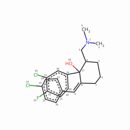 CN(C)CC1CCC/C(=C/c2ccc(Cl)cc2)C1(O)c1ccc(F)c(Cl)c1